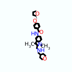 Cc1c(CNCC2CCOCC2)n(C)c2ccc(NC(=O)c3ccc(OC[C@@H]4CCCO4)cc3)cc12